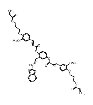 C=CC(=O)OCCCOc1ccc(/C=C/C(=O)Oc2ccc(OC(=O)/C=C/c3ccc(OCCCOC(=O)C=C)c(OC)c3)c(/C=N/Nc3nc4ccccc4s3)c2)cc1OC